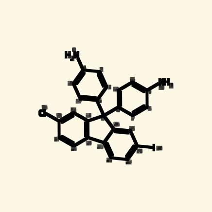 Nc1ccc(C2(c3ccc(N)cc3)c3cc(Cl)ccc3-c3ccc(I)cc32)cc1